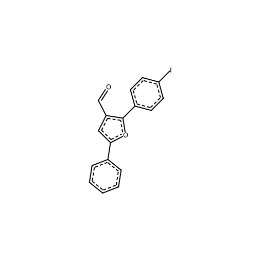 O=Cc1cc(-c2ccccc2)oc1-c1ccc(I)cc1